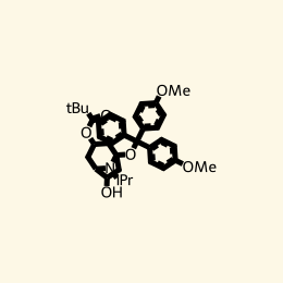 COc1ccc(C(OC23CC(OC(=O)C(C)(C)C)CC(C(O)C2)N3C(C)C)(c2ccccc2)c2ccc(OC)cc2)cc1